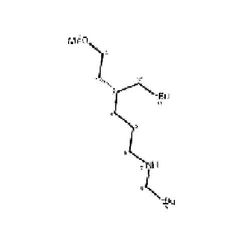 COCC[C@@H](CCCNCC(C)(C)C)CC(C)(C)C